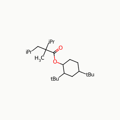 CC(C)CC(C)(C(=O)OC1CCC(C(C)(C)C)CC1C(C)(C)C)C(C)C